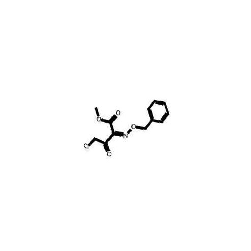 COC(=O)/C(=N\OCc1ccccc1)C(=O)CCl